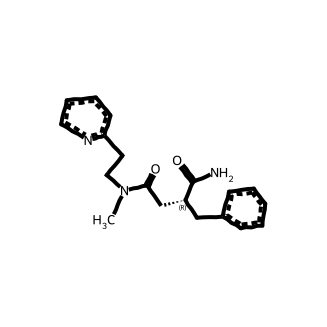 CN(CCc1ccccn1)C(=O)C[C@@H](Cc1ccccc1)C(N)=O